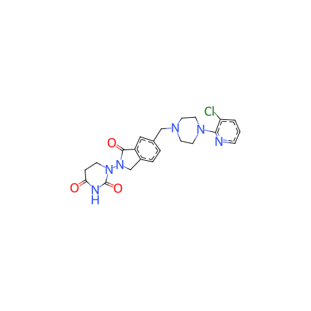 O=C1CCN(N2Cc3ccc(CN4CCN(c5ncccc5Cl)CC4)cc3C2=O)C(=O)N1